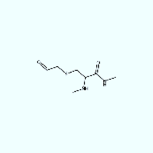 CNC(=O)C(CSCC=O)NC